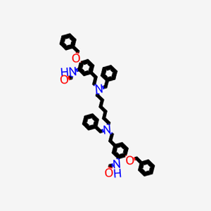 O=CNc1cc(CCN(CCCCCCN(CCc2ccc(OCc3ccccc3)c(NC=O)c2)Cc2ccccc2)Cc2ccccc2)ccc1OCc1ccccc1